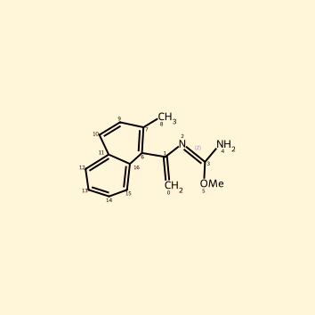 C=C(/N=C(/N)OC)c1c(C)ccc2ccccc12